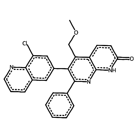 COCc1c(-c2cc(Cl)c3ncccc3c2)c(-c2ccccc2)nc2[nH]c(=O)ccc12